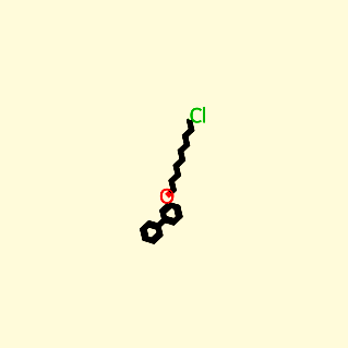 ClCCCCCCCCCCOc1cccc(-c2ccccc2)c1